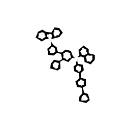 c1ccc(-c2ccc(-c3ccc(N(c4ccc(-c5cccc(-n6c7ccccc7c7ccccc76)c5)c(-c5ccccc5)c4)c4cccc5ccccc45)cc3)cc2)cc1